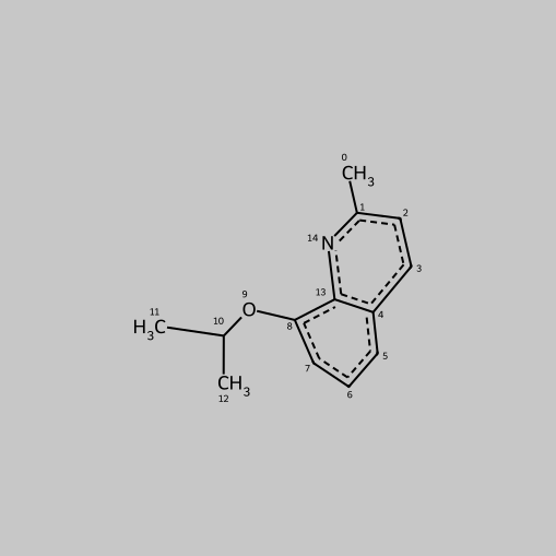 Cc1ccc2cccc(OC(C)C)c2n1